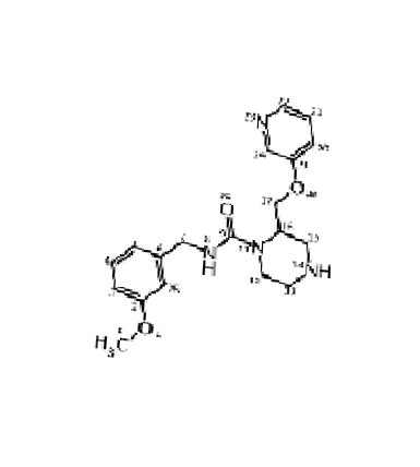 COc1cccc(CNC(=O)N2CCNCC2COc2cccnc2)c1